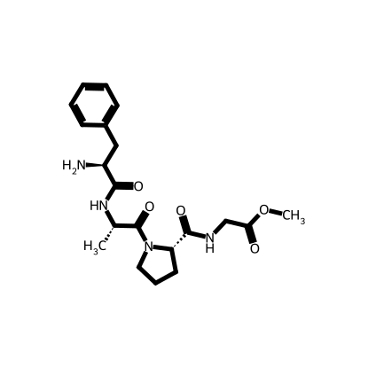 COC(=O)CNC(=O)[C@@H]1CCCN1C(=O)[C@H](C)NC(=O)[C@@H](N)Cc1ccccc1